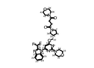 O=C(CCC(=O)N1CC[C@H](COc2cc(-n3c(C(F)F)nc4ccccc43)nc(N3CCOCC3)n2)C1)N1CCOCC1